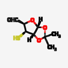 CC1(C)O[C@H]2O[C@H](C=O)[C@H](S)[C@H]2O1